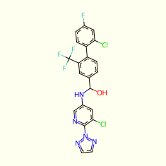 OC(Nc1cnc(-n2nccn2)c(Cl)c1)c1ccc(-c2ccc(F)cc2Cl)c(C(F)(F)F)c1